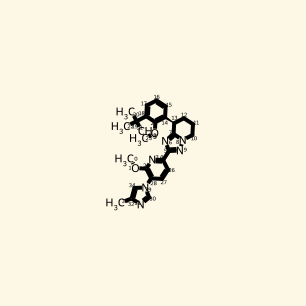 COc1nc(-c2nc3n(n2)CCC[C@@H]3c2cccc(C(C)(C)C)c2OC)ccc1-n1cnc(C)c1